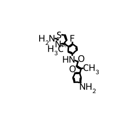 Cc1c(C(=O)Nc2ccc(F)c([C@]3(C)C=CSC(N)=N3)c2)oc2ccc(N)cc12